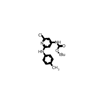 Cc1ccc(Nc2cc(NC(=O)OC(C)(C)C)cc(Cl)n2)cc1